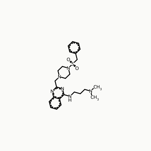 CN(C)CCCNc1nc(CN2CCN(S(=O)(=O)Cc3ccccc3)CC2)nc2ccccc12